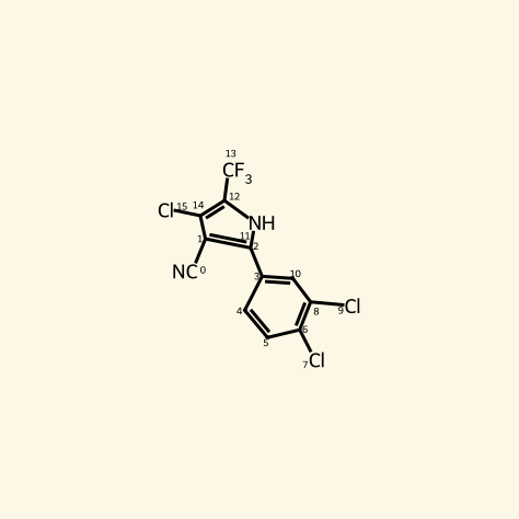 N#Cc1c(-c2ccc(Cl)c(Cl)c2)[nH]c(C(F)(F)F)c1Cl